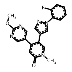 COc1ncc(-c2cc(=O)n(C)cc2-c2cnn(-c3ccccc3F)c2)cn1